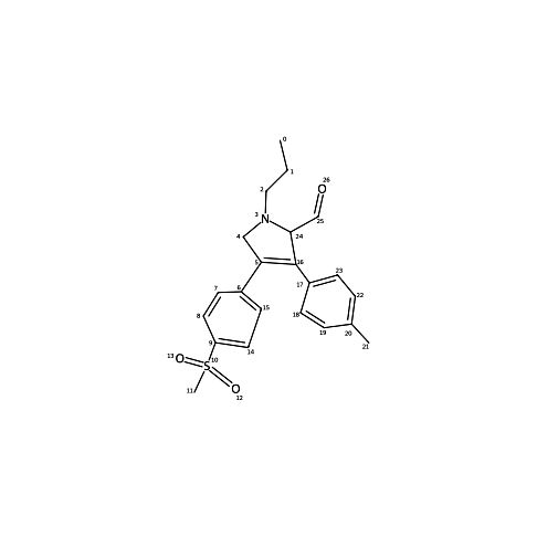 CCCN1CC(c2ccc(S(C)(=O)=O)cc2)=C(c2ccc(C)cc2)C1C=O